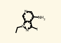 CCn1nc(I)c2c(N)cncc21